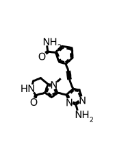 Cn1c(-c2nc(N)ncc2C#Cc2cccc(C(N)=O)c2)cc2c1CCNC2=O